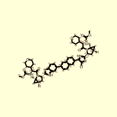 COC(=O)N[C@H](C(=O)N1[C@@H]2C[C@@H]2C[C@H]1c1nc(Cl)c(-c2ccc3cc(-c4ccc5nc([C@@H]6C[C@H]7C[C@H]7N6C(=O)[C@@H](NC(=O)OC)C6CCOCC6)[nH]c5c4)ccc3c2)[nH]1)C1CCOCC1